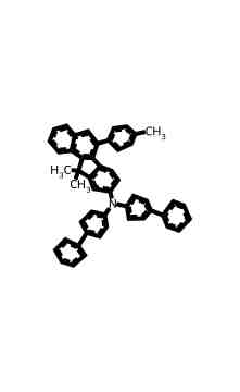 Cc1ccc(-c2cc3ccccc3c3c2-c2ccc(N(c4ccc(-c5ccccc5)cc4)c4ccc(-c5ccccc5)cc4)cc2C3(C)C)cc1